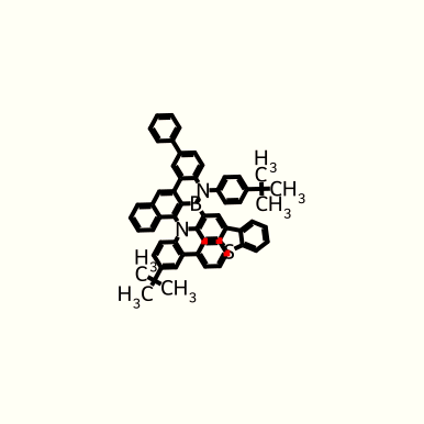 CC(C)(C)c1ccc(N2B3c4cc5c(cc4N(c4ccc(C(C)(C)C)cc4-c4ccccc4)c4c3c(cc3ccccc43)-c3cc(-c4ccccc4)ccc32)sc2ccccc25)cc1